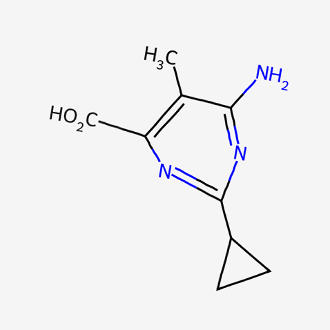 Cc1c(N)nc(C2CC2)nc1C(=O)O